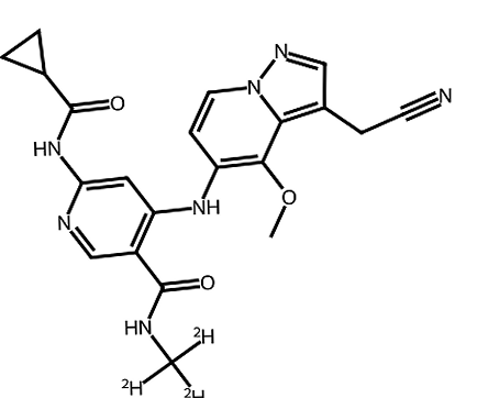 [2H]C([2H])([2H])NC(=O)c1cnc(NC(=O)C2CC2)cc1Nc1ccn2ncc(CC#N)c2c1OC